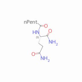 CCCCCC(=O)N[C@@H](CCC(N)=O)C(N)=O